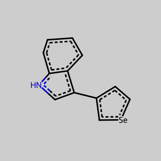 c1ccc2c(-c3cc[se]c3)c[nH]c2c1